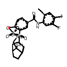 Cc1cc(F)c(F)cc1NC(=O)c1ccc(Cl)c(S(=O)(=O)C2CC3CCC(C2)C3(O)CNS(C)(=O)=O)c1